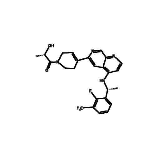 C[C@H](O)C(=O)N1CC=C(c2cc3c(N[C@H](C)c4cccc(C(F)(F)F)c4F)ccnc3cn2)CC1